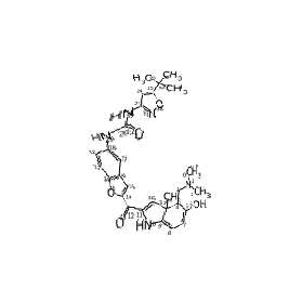 CN(C)CC1C(O)=CC=C2NC(C(=O)c3cc4cc(NC(=O)Nc5cc(C(C)(C)C)on5)ccc4o3)=CC21C